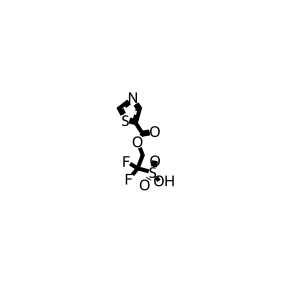 O=C(OCC(F)(F)S(=O)(=O)O)c1cncs1